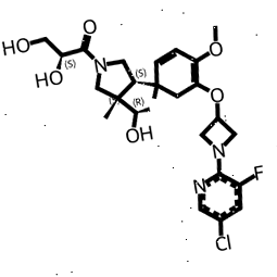 COC1=C(OC2CN(c3ncc(Cl)cc3F)C2)CC(C)([C@@H]2CN(C(=O)[C@@H](O)CO)C[C@@]2(C)[C@@H](C)O)C=C1